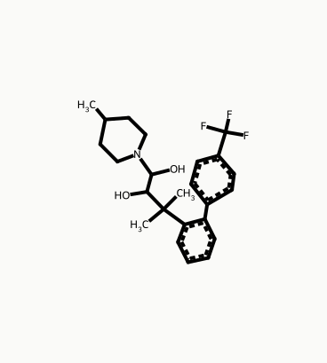 CC1CCN(C(O)C(O)C(C)(C)c2ccccc2-c2ccc(C(F)(F)F)cc2)CC1